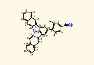 Cc1cc(C#N)cc(C)c1-c1cc2c3cc4ccccc4cc3n3c4cc5ccccc5cc4c(c1)c23